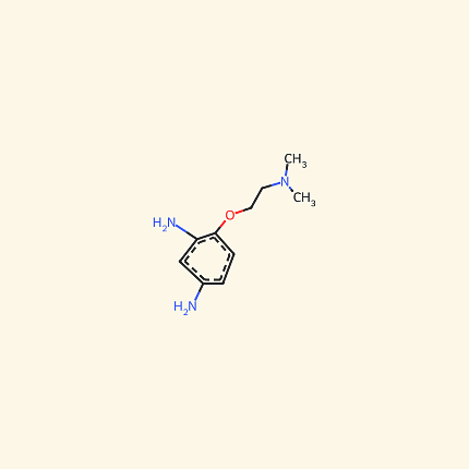 CN(C)CCOc1ccc(N)cc1N